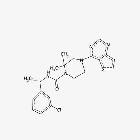 C[C@H](NC(=O)N1CCN(c2ncnc3ccsc23)CC1(C)C)c1cccc(Cl)c1